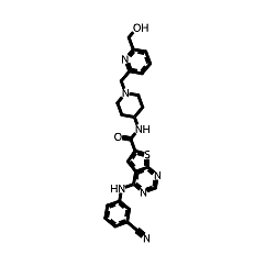 N#Cc1cccc(Nc2ncnc3sc(C(=O)NC4CCN(Cc5cccc(CO)n5)CC4)cc23)c1